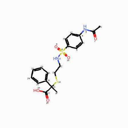 CC(=O)Nc1ccc(S(=O)(=O)NCCSC(C)(C(=O)O)c2ccccc2)cc1